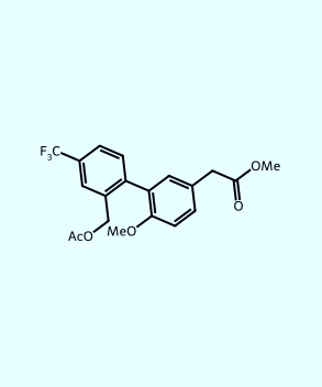 COC(=O)Cc1ccc(OC)c(-c2ccc(C(F)(F)F)cc2COC(C)=O)c1